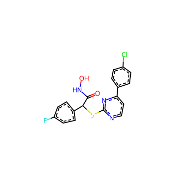 O=C(NO)C(Sc1nccc(-c2ccc(Cl)cc2)n1)c1ccc(F)cc1